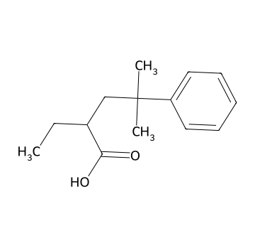 CCC(CC(C)(C)c1ccccc1)C(=O)O